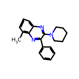 Cc1cccc2nc(N3CCCCC3)c(-c3ccccc3)nc12